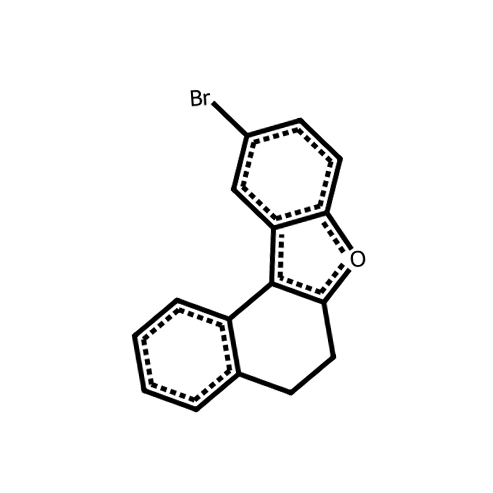 Brc1ccc2oc3c(c2c1)-c1ccccc1CC3